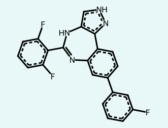 Fc1cccc(-c2ccc3c(c2)N=C(c2c(F)cccc2F)Nc2c[nH]nc2-3)c1